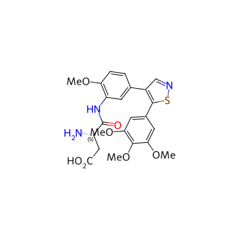 COc1ccc(-c2cnsc2-c2cc(OC)c(OC)c(OC)c2)cc1NC(=O)[C@@H](N)CC(=O)O